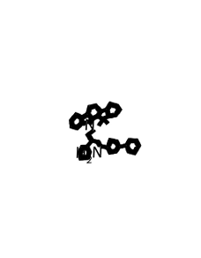 CC1(C)c2ccccc2-c2ccc3c4ccccc4n(C/C=C(\C=C(/N)c4ccc(-c5ccccc5)cc4)c4ccccc4)c3c21